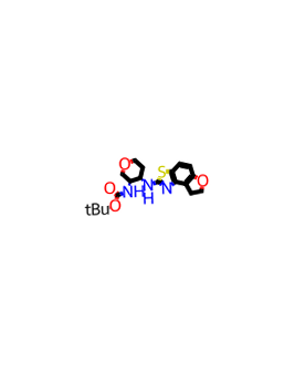 CC(C)(C)OC(=O)N[C@H]1COCC[C@H]1Nc1nc2c3c(ccc2s1)OCC3